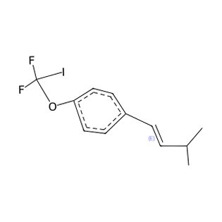 CC(C)/C=C/c1ccc(OC(F)(F)I)cc1